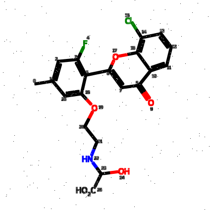 Cc1cc(F)c(-c2cc(=O)c3cccc(Cl)c3o2)c(OCCNC(O)C(=O)O)c1